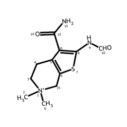 C[N+]1(C)CCc2c(sc(NC=O)c2C(N)=O)C1